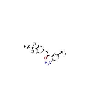 Bc1ccc(N)c(C(=O)Cc2ccc(C(C)(C)C)cc2)c1